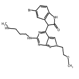 CNCCCNc1nc(C2C(=O)Nc3ccc(Br)cc32)c2cn(CCOC)nc2n1